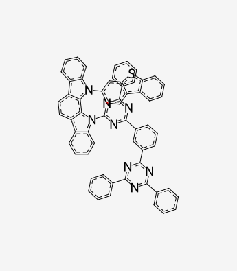 c1ccc(-c2nc(-c3ccccc3)nc(-c3cccc(-c4nc(-c5ccccc5)nc(-n5c6ccccc6c6ccc7c8ccccc8n(-c8ccc9c(c8)sc8ccccc89)c7c65)n4)c3)n2)cc1